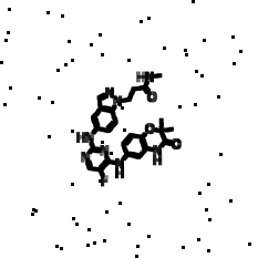 CNC(=O)CCn1ncc2cc(Nc3ncc(F)c(Nc4ccc5c(c4)NC(=O)C(C)(C)O5)n3)ccc21